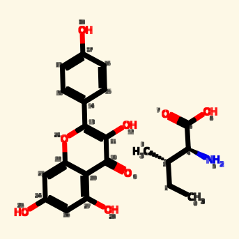 CC[C@H](C)[C@H](N)C(=O)O.O=c1c(O)c(-c2ccc(O)cc2)oc2cc(O)cc(O)c12